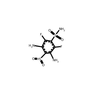 Nc1c(F)c(S(N)(=O)=O)c(F)c(N)c1[SH](=O)=O